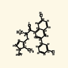 Cc1c(CN(C)C(=O)c2nc(-c3cccc(Cl)c3)nc3ccc(Cl)cc23)cnn1C(C)C